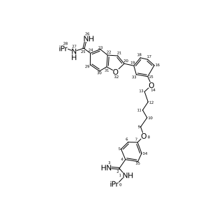 CC(C)NC(=N)c1ccc(OCCCCCOc2cccc(-c3cc4cc(C(=N)NC(C)C)ccc4o3)c2)cc1